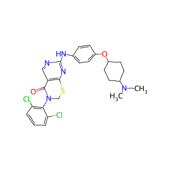 CN(C)C1CCC(Oc2ccc(Nc3ncc4c(n3)SCN(c3c(Cl)cccc3Cl)C4=O)cc2)CC1